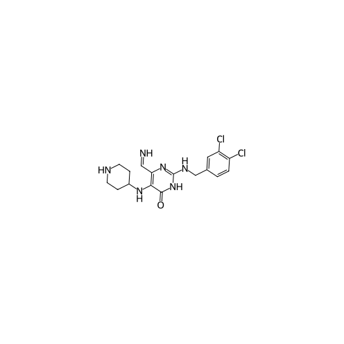 N=Cc1nc(NCc2ccc(Cl)c(Cl)c2)[nH]c(=O)c1NC1CCNCC1